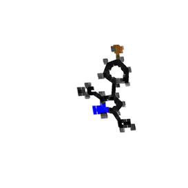 Cc1cc(-c2ccc(Br)cc2)c(C)[nH]1